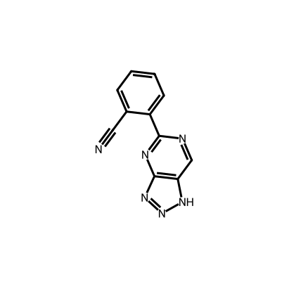 N#Cc1ccccc1-c1ncc2[nH]nnc2n1